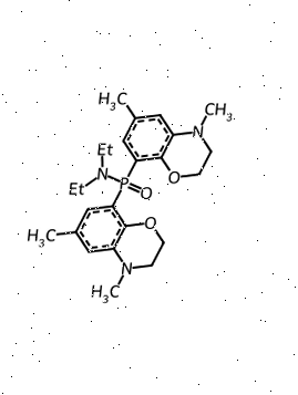 CCN(CC)P(=O)(c1cc(C)cc2c1OCCN2C)c1cc(C)cc2c1OCCN2C